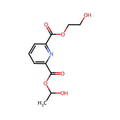 CC(O)OC(=O)c1cccc(C(=O)OCCO)n1